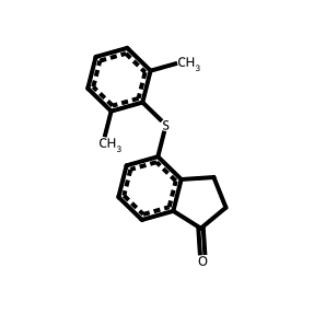 Cc1cccc(C)c1Sc1cccc2c1CCC2=O